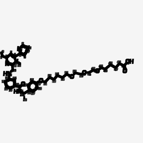 CCC1C=C(c2ccncn2)N(C)C(CNc2cccc(C(=O)N[C@@H](C)c3ccc(OCCCCCCOCCOCCOCCCCCC(=O)O)cc3)c2)=N1